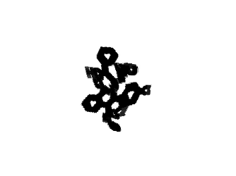 O=NC[C@@H]([C@@H](O)c1ccccc1)N1C(=O)c2ccccc2C(C(=O)N=O)C1c1ccc(Cl)cc1Cl